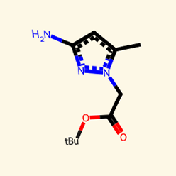 Cc1cc(N)nn1CC(=O)OC(C)(C)C